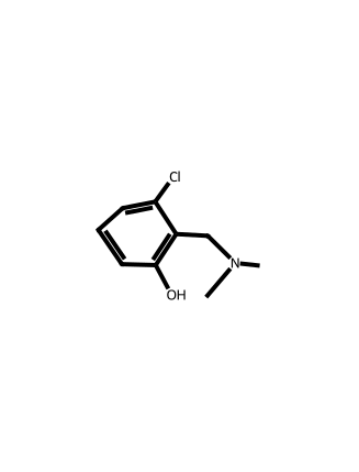 CN(C)Cc1c(O)cccc1Cl